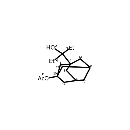 CCC(O)(CC)C12CC3CC(CC(OC(C)=O)(C3)C1)C2